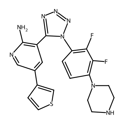 Nc1ncc(-c2ccsc2)cc1-c1nnnn1-c1ccc(N2CCNCC2)c(F)c1F